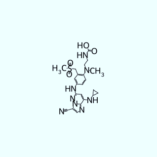 CN(CCNC(=O)O)c1ccc(Nc2cc(NC3CC3)c3ncc(C#N)n3n2)cc1CS(C)(=O)=O